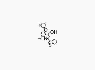 CCc1ccc(O[C@H]2CCC[C@@H](C)C2)c2c(CO)cc(-c3csc4ccccc34)nc12